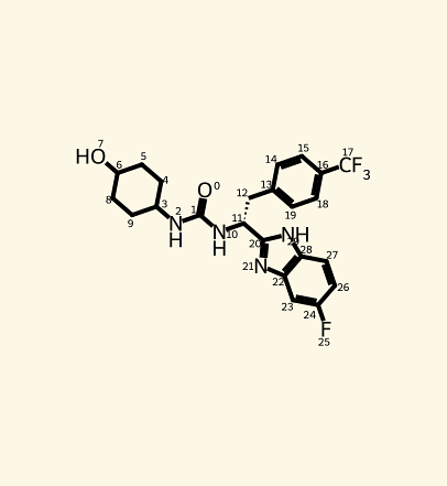 O=C(NC1CCC(O)CC1)N[C@H](Cc1ccc(C(F)(F)F)cc1)c1nc2cc(F)ccc2[nH]1